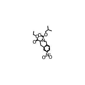 CCOC(=O)C1Cc2cc([N+](=O)[O-])ccc2CN1C(=O)OCC(C)C